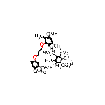 COc1c(C)c(C(=O)O)c(C)c(C)c1C(=O)O.COc1ccc(OCCCOc2c(C)c(C)cc(OC)c2C)cc1OC